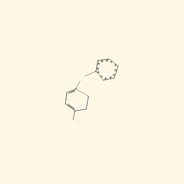 COC1=CC=C(Oc2ccccc2)CC1